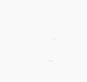 C=C(C)C(=C)OCC(O)COC(=O)CCN(C)CC(O)C(O)C(O)C(O)CO